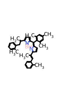 Bn1c(C(=C)Cc2ccccc2C)ccc1/C(=C1/C=CC(C(/C)=C/c2ccccc2C)=N1)c1c(C)cc(C)cc1C